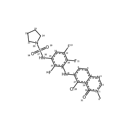 Cn1cnc2ccc(Nc3c(F)c(F)cc(NS(=O)(=O)N4CCCC4)c3F)c(Cl)c2c1=O